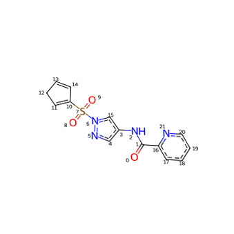 O=C(Nc1cnn(S(=O)(=O)C2=CCC=C2)c1)c1ccccn1